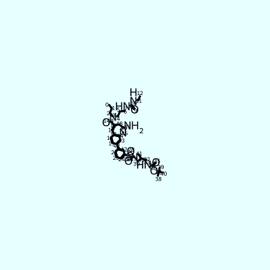 CCCN(CCCNC(=O)NCC)C(=O)C1=Cc2ccc(-c3cccc(S(=O)(=O)N4CC(CNC(=O)OC(C)(C)C)C4)c3)cc2N=C(N)C1